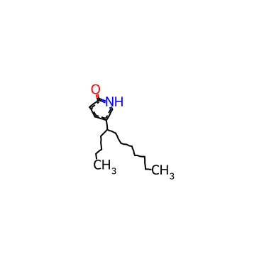 CCCCCCCC(CCCC)c1ccc(=O)[nH]c1